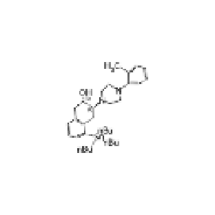 CCC[CH2][Sn]([CH2]CCC)([CH2]CCC)[c]1cccc2c1C[C@H](N1CCN(c3ccccc3C)CC1)[C@@H](O)C2